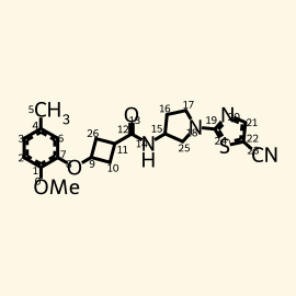 COc1ccc(C)cc1OC1CC(C(=O)NC2CCN(c3ncc(C#N)s3)C2)C1